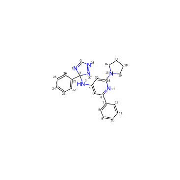 C1=NC(Nc2cc(-c3ccccc3)nc(N3CCCC3)c2)(c2ccccc2)N=N1